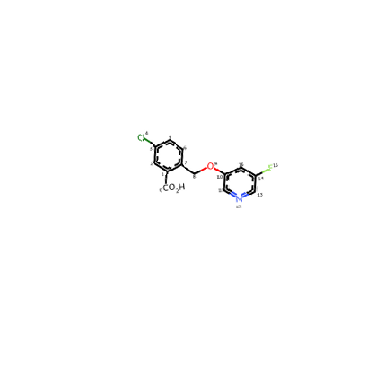 O=C(O)c1cc(Cl)ccc1COc1cncc(F)c1